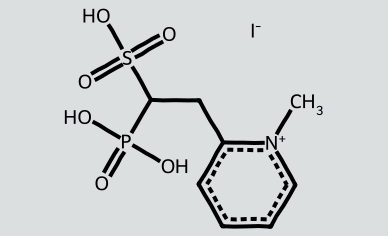 C[n+]1ccccc1CC(P(=O)(O)O)S(=O)(=O)O.[I-]